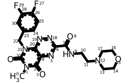 Cn1c(=O)c2nc(C(=O)NCCN3CCOCC3)nnc2n(Cc2ccc(F)c(F)c2)c1=O